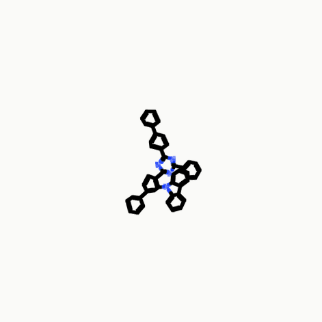 c1ccc(-c2ccc(-c3nc(-c4ccccc4)nc(-c4ccc(-c5ccccc5)cc4-n4c5ccccc5c5ccccc54)n3)cc2)cc1